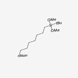 CCCCCCCCCCCCCCCC[Si](OC)(OC)C(C)(C)C